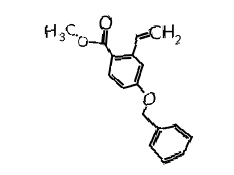 C=Cc1cc(OCc2ccccc2)ccc1C(=O)OC